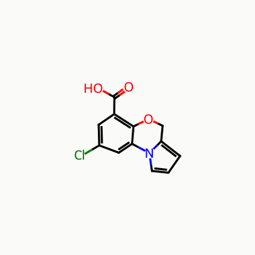 O=C(O)c1cc(Cl)cc2c1OCc1cccn1-2